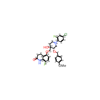 COc1ccc(CO[C@H]2CN(c3ccc(Cl)cc3F)CC[C@@]2(O)COc2ccc(F)c3c2CCC(=O)N3)cc1